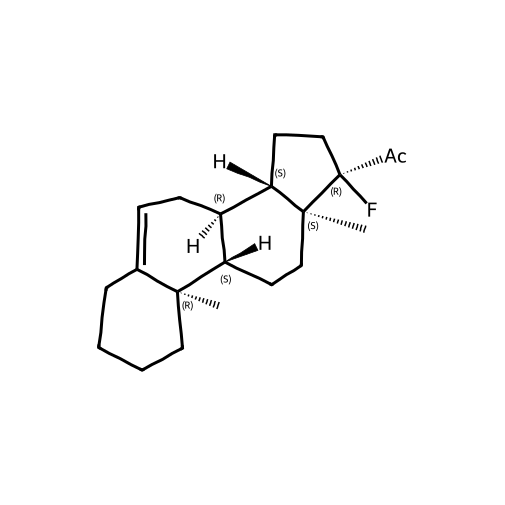 CC(=O)[C@@]1(F)CC[C@H]2[C@@H]3CC=C4CCCC[C@]4(C)[C@H]3CC[C@@]21C